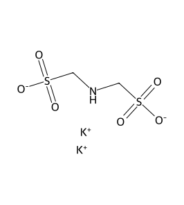 O=S(=O)([O-])CNCS(=O)(=O)[O-].[K+].[K+]